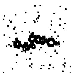 Cc1cc(-c2nc(C(=O)N3CCN(C)c4cc5nn(C6CCNCC6)cc5cc43)co2)ccn1